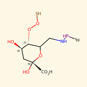 [3H]PNCC1O[C@@](O)(C(=O)O)C[C@@H](O)[C@@H]1OOS